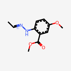 C/C=N/Nc1ccc(OC)cc1C(=O)OC